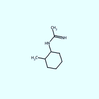 CC(=N)NC1CCCCC1C